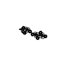 CCCc1cccc2c1[C@@H]1CCc3cccc(c31)OP(Oc1ccc(-c3cccc(OP(OCCOP(Oc4ccccc4)Oc4ccccc4)Oc4ccccc4)c3)cc1)O2